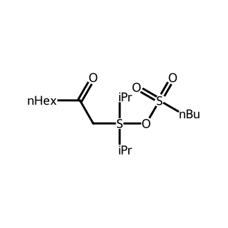 CCCCCCC(=O)CS(OS(=O)(=O)CCCC)(C(C)C)C(C)C